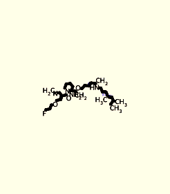 C=NCC(=CCOCCCF)C(=O)N1CCCCC1(N)C(=C)OCC/C=C/C(=C)NC/C=C/C(C)=C/C(C)CC